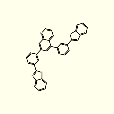 c1cc(-c2cc(-c3cccc(-c4nc5ccccc5s4)c3)c3cccnc3c2)cc(-c2nc3ccccc3s2)c1